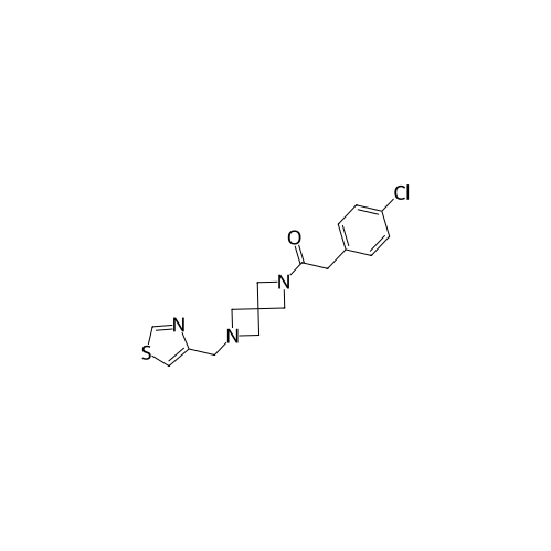 O=C(Cc1ccc(Cl)cc1)N1CC2(CN(Cc3cscn3)C2)C1